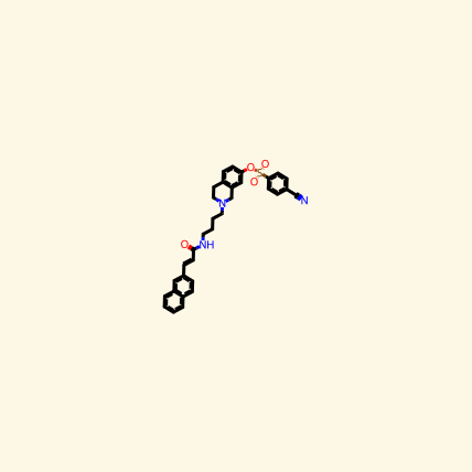 N#Cc1ccc(S(=O)(=O)Oc2ccc3c(c2)CN(CCCCNC(=O)C=Cc2ccc4ccccc4c2)CC3)cc1